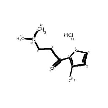 Cc1ccsc1C(=O)CCN(C)C.Cl